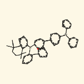 CC1(C)CCC(C)(C)c2c(N(c3ccc(-c4ccc(N(c5ccccc5)c5ccccc5)cc4)cc3)c3ccccc3-c3ccccc3)cccc21